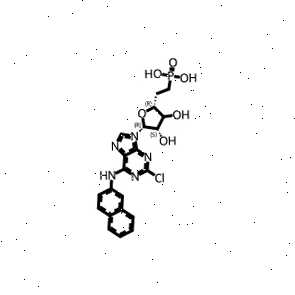 O=P(O)(O)CC[C@H]1O[C@@H](n2cnc3c(Nc4ccc5ccccc5c4)nc(Cl)nc32)[C@@H](O)C1O